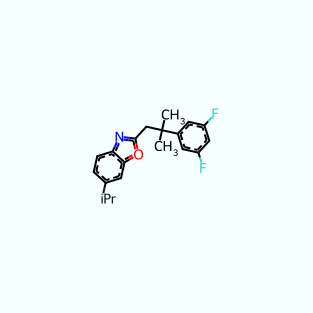 CC(C)c1ccc2nc(CC(C)(C)c3cc(F)cc(F)c3)oc2c1